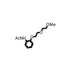 COCCOCCOc1ccccc1NC(C)=O